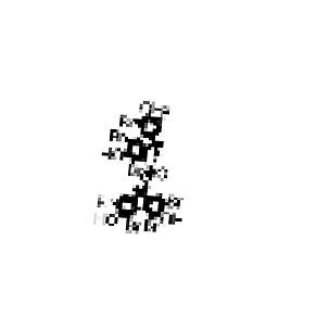 CC(COC(=O)OCC(C)(c1cc(Br)c(O)c(Br)c1)c1cc(Br)c(O)c(Br)c1)(c1cc(Br)c(O)c(Br)c1)c1cc(Br)c(O)c(Br)c1